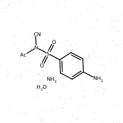 CC(=O)N(C#N)S(=O)(=O)c1ccc(N)cc1.N.O